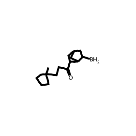 BC1CC2CC(C(=O)CCC3(C)CCCC3)C1C2